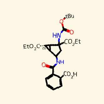 CCOC(=O)[C@H]1C2C(NC(=O)c3ccccc3C(=O)O)CC(NC(=O)OC(C)(C)C)(C(=O)OCC)C21